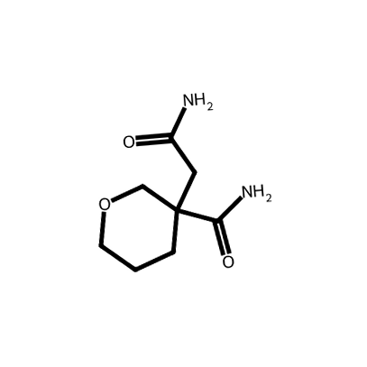 NC(=O)CC1(C(N)=O)CCCOC1